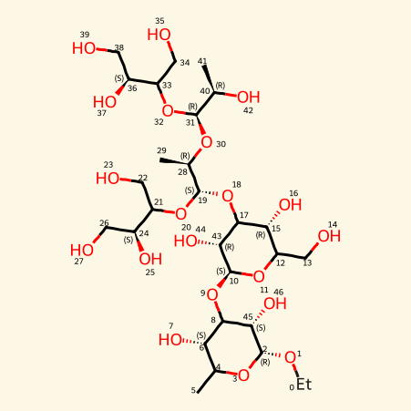 CCO[C@@H]1OC(C)[C@H](O)C(O[C@@H]2OC(CO)[C@@H](O)C(O[C@H](OC(CO)[C@@H](O)CO)[C@@H](C)O[C@@H](OC(CO)[C@@H](O)CO)[C@@H](C)O)[C@H]2O)[C@@H]1O